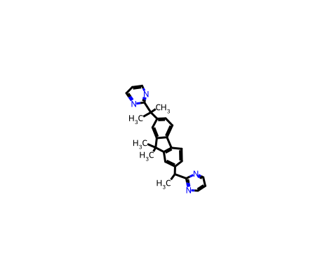 CC(c1ccc2c(c1)C(C)(C)c1cc(C(C)(C)c3ncccn3)ccc1-2)c1ncccn1